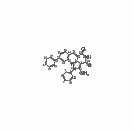 Nc1c2c(nn1-c1ccccc1)/C(=C\c1ccc(-c3ccccc3)cc1)C(=O)NC2=O